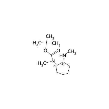 CN[C@@H]1CCCC[C@@H]1N(C)C(=O)OC(C)(C)C